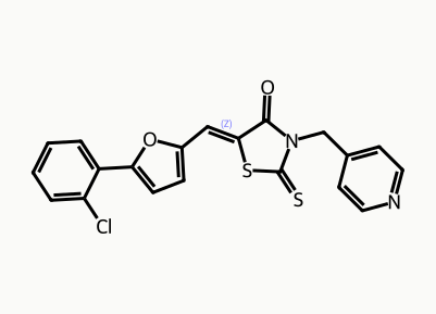 O=C1/C(=C/c2ccc(-c3ccccc3Cl)o2)SC(=S)N1Cc1ccncc1